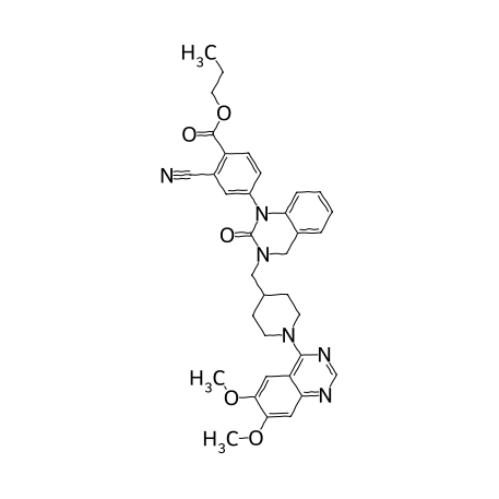 CCCOC(=O)c1ccc(N2C(=O)N(CC3CCN(c4ncnc5cc(OC)c(OC)cc45)CC3)Cc3ccccc32)cc1C#N